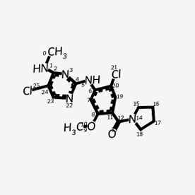 CNc1nc(Nc2cc(OC)c(C(=O)N3CCCC3)cc2Cl)ncc1Cl